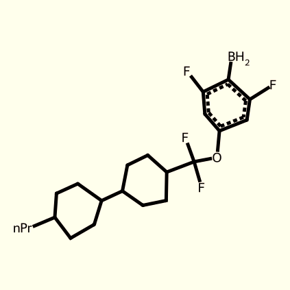 Bc1c(F)cc(OC(F)(F)C2CCC(C3CCC(CCC)CC3)CC2)cc1F